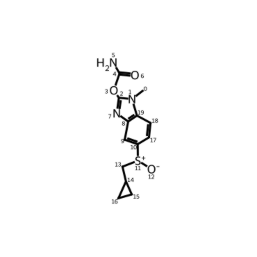 Cn1c(OC(N)=O)nc2cc([S+]([O-])CC3CC3)ccc21